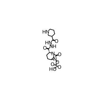 O=C(NNC(=O)[C@@H]1CCC2CN1C(=O)N2OS(=O)(=O)O)C1CCCNC1